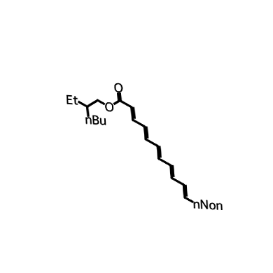 CCCCCCCCCC=CC=CC=CC=CC=CC(=O)OCC(CC)CCCC